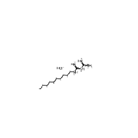 CCCCCCCCCCNC(=N)NC(=N)N.Cl